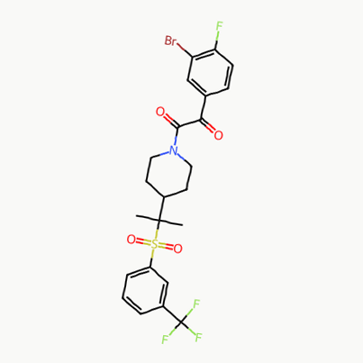 CC(C)(C1CCN(C(=O)C(=O)c2ccc(F)c(Br)c2)CC1)S(=O)(=O)c1cccc(C(F)(F)F)c1